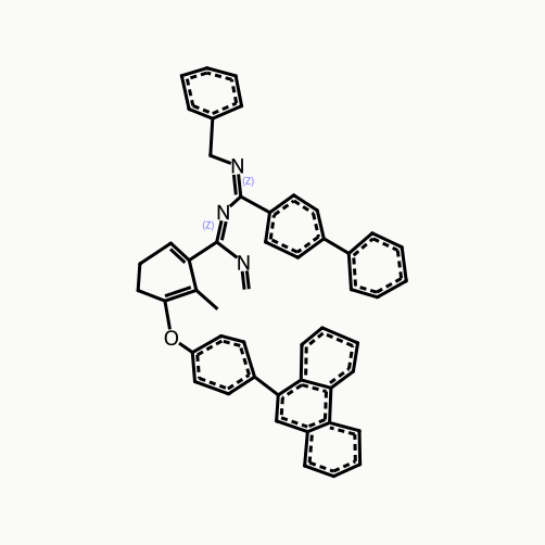 C=N/C(=N\C(=N/Cc1ccccc1)c1ccc(-c2ccccc2)cc1)C1=CCCC(Oc2ccc(-c3cc4ccccc4c4ccccc34)cc2)=C1C